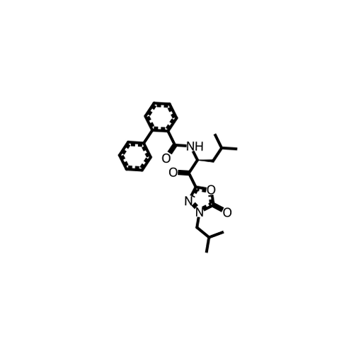 CC(C)C[C@H](NC(=O)c1ccccc1-c1ccccc1)C(=O)c1nn(CC(C)C)c(=O)o1